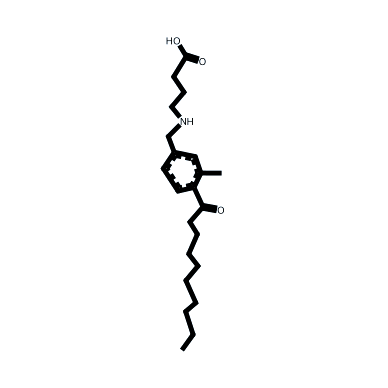 CCCCCCCCCC(=O)c1ccc(CNCCCC(=O)O)cc1C